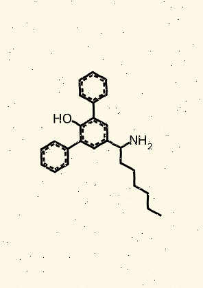 CCCCCCC(N)c1cc(-c2ccccc2)c(O)c(-c2ccccc2)c1